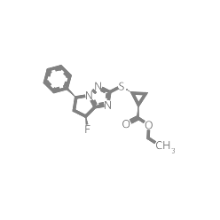 CCOC(=O)[C@@H]1C[C@H]1Sc1nc2n(n1)[C@H](c1ccccc1)C[C@@H]2F